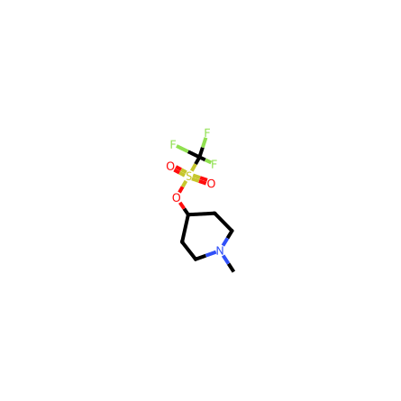 CN1CCC(OS(=O)(=O)C(F)(F)F)CC1